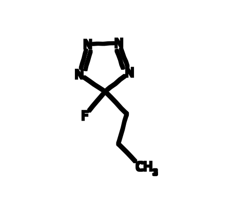 CCCC1(F)N=NN=N1